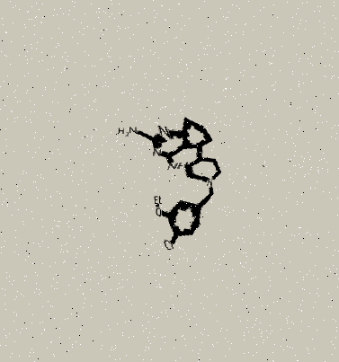 CCOc1cc(CN2CCC(c3cccc4nc(N)nc(N)c34)CC2)ccc1Cl